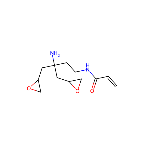 C=CC(=O)NCCC(N)(CC1CO1)CC1CO1